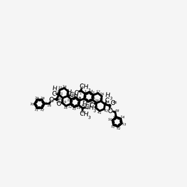 CC(C)c1cc2c(cc1-c1cc3c(cc1C(C)C)CCC1C(C)(C(=O)OCc4ccccc4)CCCC31C)C1(C)CCCC(C)(C(=O)OCc3ccccc3)C1CC2